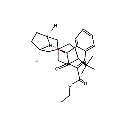 CCOC(=O)c1nc2ccccc2n([C@H]2C[C@H]3CC[C@@H](C2)N3[C@H]2CC[C@H](C(C)(C)C)CC2)c1=O